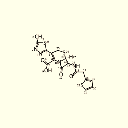 Cc1nnc(C2=C(C(=O)O)N3C(=O)C(NC(=O)Cc4cccs4)[C@@H]3SC2)s1